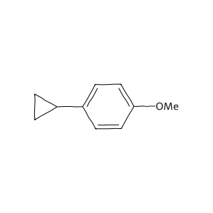 COc1ccc(C2CC2)cc1